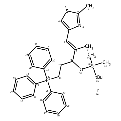 CC(=Cc1csc(C)n1)C(CC[P+](c1ccccc1)(c1ccccc1)c1ccccc1)O[Si](C)(C)C(C)(C)C.[I-]